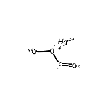 O=[C-]O[O-].[Hg+2]